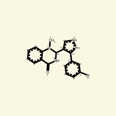 CN1c2ccccc2C(=O)NC1c1c[nH]nc1-c1cccc(Br)c1